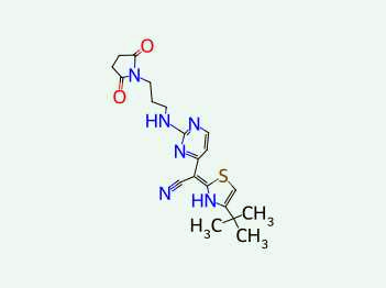 CC(C)(C)C1=CSC(=C(C#N)c2ccnc(NCCCN3C(=O)CCC3=O)n2)N1